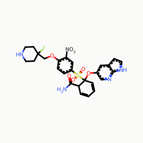 NC(=O)C1C=CC=CC1(Oc1cnc2[nH]ccc2c1)S(=O)(=O)c1ccc(OCC2(F)CCNCC2)c([N+](=O)[O-])c1